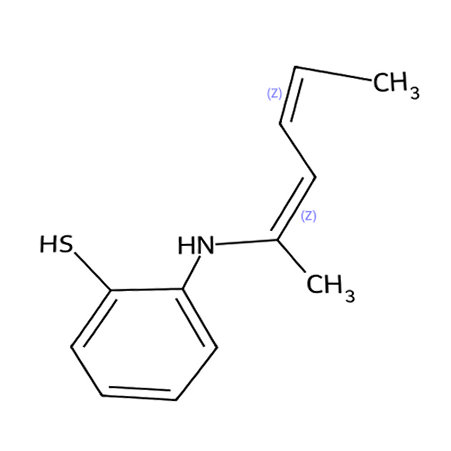 C/C=C\C=C(\C)Nc1ccccc1S